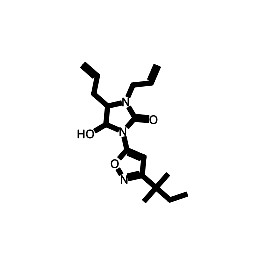 C=CCC1C(O)N(c2cc(C(C)(C)CC)no2)C(=O)N1CC=C